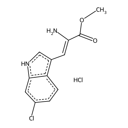 COC(=O)C(N)=Cc1c[nH]c2cc(Cl)ccc12.Cl